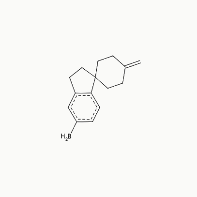 Bc1ccc2c(c1)CCC21CCC(=C)CC1